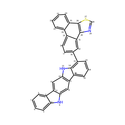 c1ccc2c(c1)[nH]c1cc3c(cc12)[nH]c1c(-c2ccc4c5ccccc5c5scnc5c4c2)cccc13